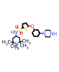 CC1(C)CC(NS(=O)(=O)c2ccc(Oc3cccc(N4CCNCC4)c3)s2)CC(C)(C)N1